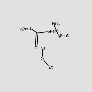 CCCCCC(=O)CCCCC.CCCCCN.CCOCC